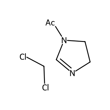 CC(=O)N1C=NCC1.ClCCl